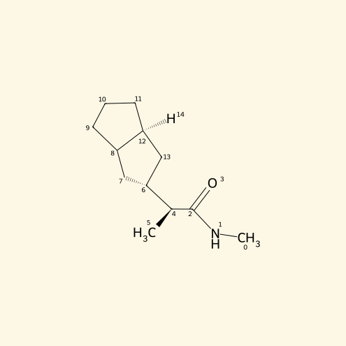 CNC(=O)[C@@H](C)[C@@H]1CC2CCC[C@H]2C1